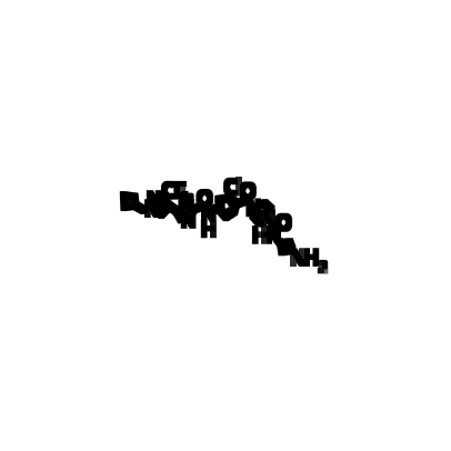 Cn1c(-c2cn(CC3CCC3)nc2C(F)(F)F)cnc1C(=O)Nc1ccc(C(=O)N2CCN(C(=O)NC3CC(N)C3)CC2)c(Cl)c1